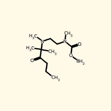 BOC(=O)N(C)CCN(C)C(C)(C)C(=O)CCC